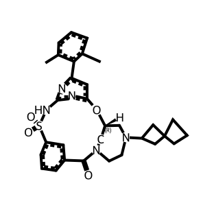 Cc1cccc(C)c1-c1cc2nc(n1)NS(=O)(=O)c1cccc(c1)C(=O)N1CCN(C3CC4(CCC4)C3)C[C@H](C1)O2